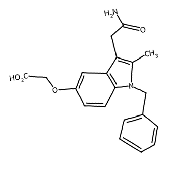 Cc1c(CC(N)=O)c2cc(OCC(=O)O)ccc2n1Cc1ccccc1